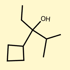 CCC(O)(C(C)C)C1CCC1